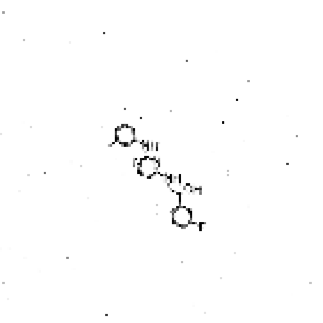 Cc1cccc(Nc2nccc(NCC(O)c3cccc(F)c3)n2)c1